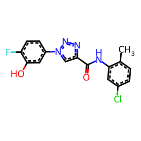 Cc1ccc(Cl)cc1NC(=O)c1cn(-c2ccc(F)c(O)c2)nn1